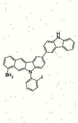 Bc1cccc2cc3c4cc(-c5ccc6[nH]c7ccccc7c6c5)ccc4n(-c4ccccc4I)c3cc12